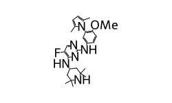 COc1ccc(Nc2ncc(F)c(NC3CC(C)(C)NC(C)(C)C3)n2)cc1-n1c(C)ccc1C